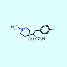 CN1CCC(O)(C(Cc2ccc(F)cc2)C(=O)O)CC1